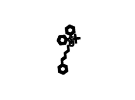 CC(C)(C)[Si](OCCCC=Cc1ccccc1)(c1ccccc1)c1ccccc1